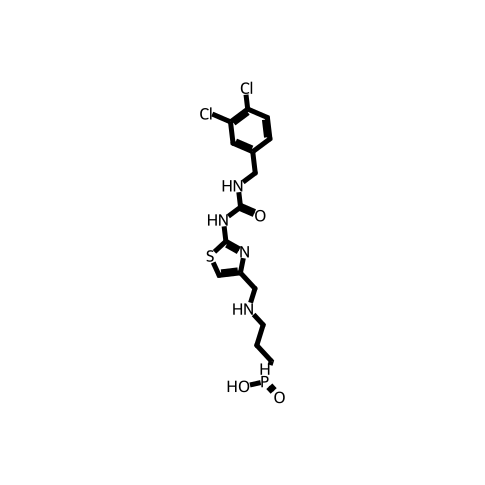 O=C(NCc1ccc(Cl)c(Cl)c1)Nc1nc(CNCCC[PH](=O)O)cs1